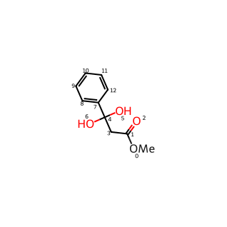 COC(=O)CC(O)(O)c1ccccc1